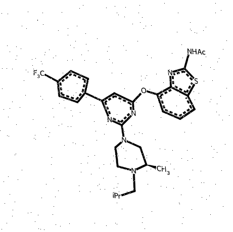 CC(=O)Nc1nc2c(Oc3cc(-c4ccc(C(F)(F)F)cc4)nc(N4CCN(CC(C)C)[C@H](C)C4)n3)cccc2s1